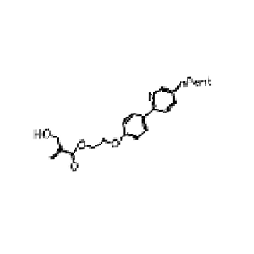 C=C(CO)C(=O)OCCOc1ccc(-c2ccc(CCCCC)cn2)cc1